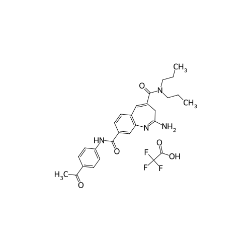 CCCN(CCC)C(=O)C1=Cc2ccc(C(=O)Nc3ccc(C(C)=O)cc3)cc2N=C(N)C1.O=C(O)C(F)(F)F